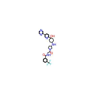 O=C(NCC(=O)N1CCC(NC2CCC(O)(c3ccc(-c4cnccn4)cn3)CC2)C1)c1cccc(C(F)(F)F)c1